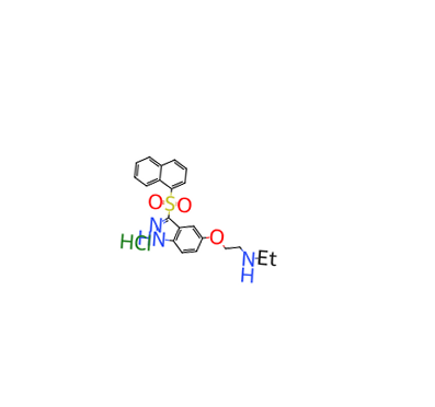 CCNCCOc1ccc2[nH]nc(S(=O)(=O)c3cccc4ccccc34)c2c1.Cl